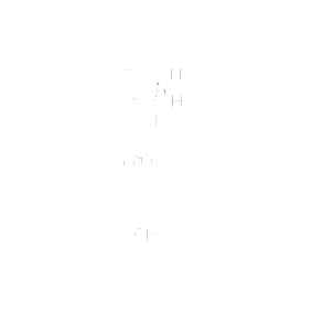 CC1CCC(C2CCC(OC(=O)C3CCC(COC(=O)C4CC(C)(C)NC4(C)C)CC3)CC2)CC1